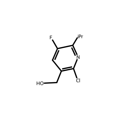 CC(C)c1nc(Cl)c(CO)cc1F